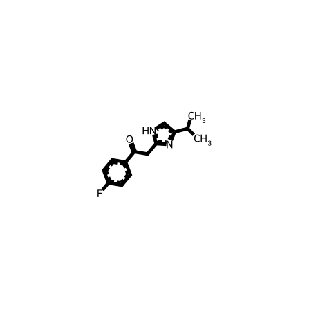 CC(C)c1c[nH]c(CC(=O)c2ccc(F)cc2)n1